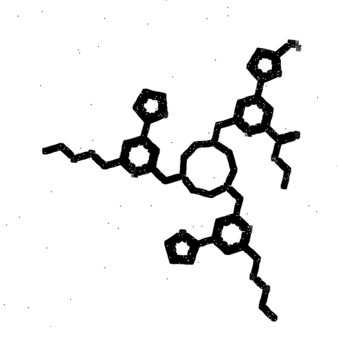 Bc1ccc(-c2cc(CN3CCN(Cc4cc(-c5ccco5)cc(COOCC)n4)CCN(Cc4cc(-c5ccco5)cc(COOCC)n4)CC3)nc(C(=O)OCC)c2)o1